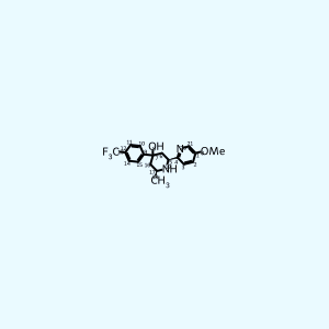 COc1ccc([C@@H]2CC(O)(c3ccc(C(F)(F)F)cc3)C[C@H](C)N2)nc1